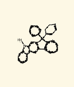 Cn1c2ccccc2c2cc3c(cc21)C(C1=CC=CCC1)(c1ccccc1)c1ccccc1-3